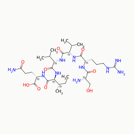 CC[C@H](C)[C@H](NC(=O)[C@@H](NC(=O)[C@@H](NC(=O)[C@H](CCCNC(=N)N)NC(=O)[C@@H](N)CO)C(C)C)C(C)C)C(=O)N[C@@H](CCC(N)=O)C(=O)O